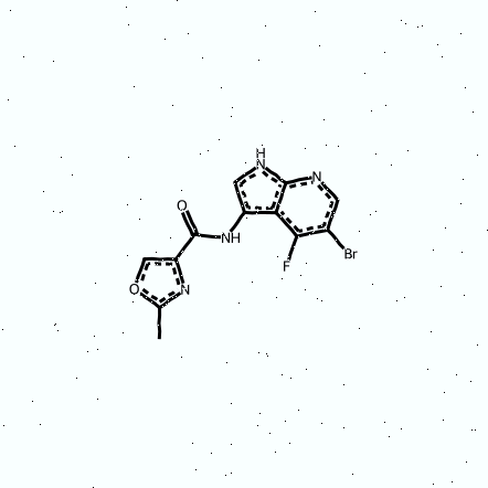 Cc1nc(C(=O)Nc2c[nH]c3ncc(Br)c(F)c23)co1